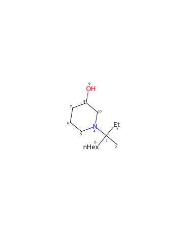 CCCCCCC(C)(CC)N1CCCC(O)C1